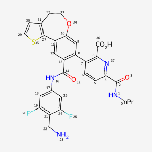 CCCNC(=O)c1ccc(-c2cc3c(cc2C(=O)Nc2cc(F)c(CN)c(F)c2)-c2sccc2CCO3)c(C(=O)O)n1